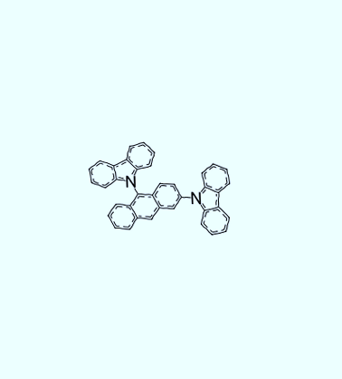 c1ccc2c(-n3c4ccccc4c4ccccc43)c3ccc(-n4c5ccccc5c5ccccc54)cc3cc2c1